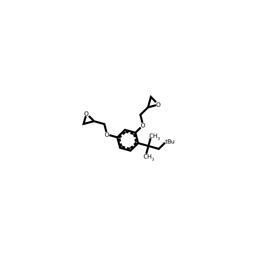 CC(C)(C)CC(C)(C)c1ccc(OCC2CO2)cc1OCC1CO1